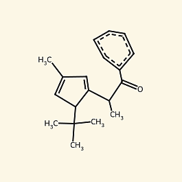 CC1=CC(C(C)(C)C)C(C(C)C(=O)c2ccccc2)=C1